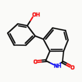 O=C1NC(=O)c2c1cccc2-c1ccccc1O